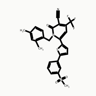 Cc1ccc(Cn2c(-c3ccc(-c4cccc(S(C)(=O)=O)c4)s3)cc(C(F)(F)F)c(C#N)c2=O)c(C)c1